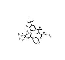 COC(=O)N(C[C@H]1COCCN1C(=O)OC(C)(C)C)C1(c2ccc(F)c(C(F)(F)F)c2)CC1